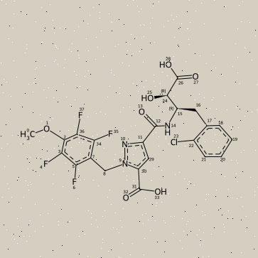 COc1c(F)c(F)c(Cn2nc(C(=O)N[C@H](Cc3ccccc3Cl)[C@@H](O)C(=O)O)cc2C(=O)O)c(F)c1F